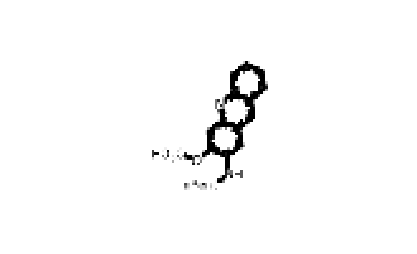 CCCCCNc1cc2cc3ccccc3nc2cc1OC(=O)O